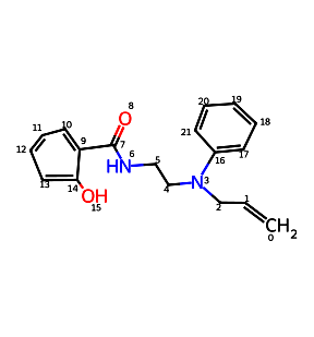 C=CCN(CCNC(=O)c1ccccc1O)c1ccccc1